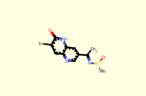 CCc1cc2ncc(/C(C)=N/[S@+]([O-])C(C)(C)C)cc2[nH]c1=O